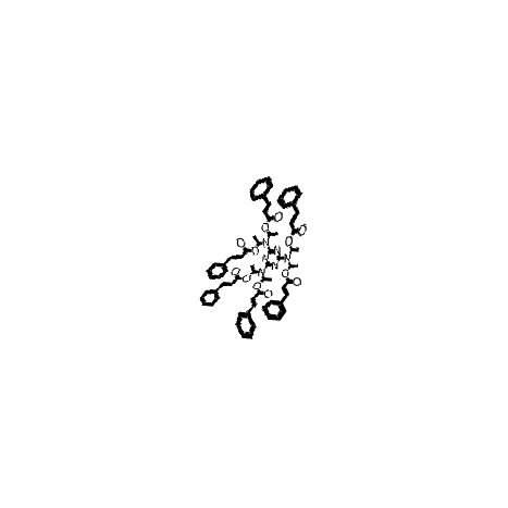 CC(OC(=O)C=Cc1ccccc1)N(c1nc(N(C(C)OC(=O)C=Cc2ccccc2)C(C)OC(=O)C=Cc2ccccc2)nc(N(C(C)OC(=O)C=Cc2ccccc2)C(C)OC(=O)C=Cc2ccccc2)n1)C(C)OC(=O)C=Cc1ccccc1